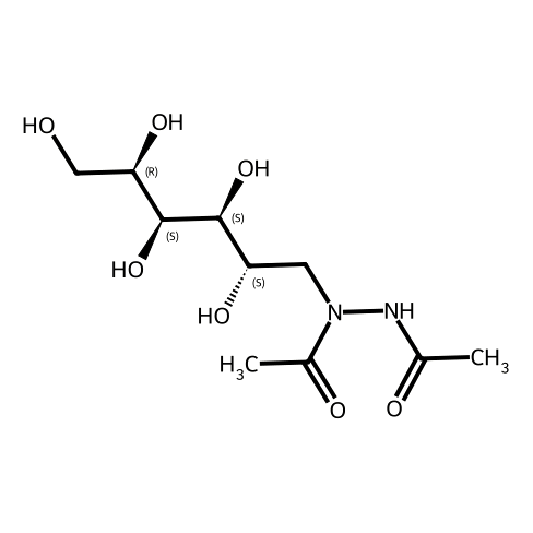 CC(=O)NN(C[C@H](O)[C@H](O)[C@@H](O)[C@H](O)CO)C(C)=O